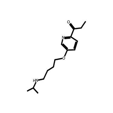 CCC(=O)c1ccc(OCCCCNC(C)C)cn1